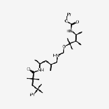 CC(CNCOC(C)(C)C(C)C(C)NC(=O)OC(C)C)CC(C)NC(=O)C(C)(C)CC(C)(C)C(C)C